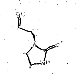 C=CCN1[CH]CNC1=O